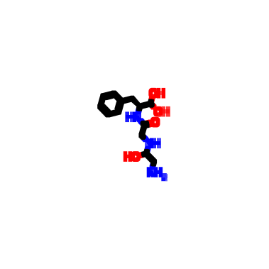 NCC(O)NCC(=O)N[C@@H](Cc1ccccc1)C(O)O